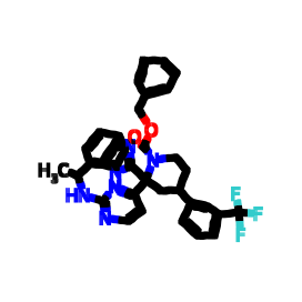 CC(Nc1nccc(C2(c3ncc[nH]3)CC(c3cccc(C(F)(F)F)c3)CCN2C(=O)OCc2ccccc2)n1)c1ccccc1